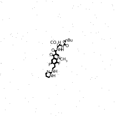 CCCCOC(=O)NC(CNC(=O)c1cn(C)c2c(F)c(CCNC3N=CCCN3)c(F)cc2c1=O)C(=O)O